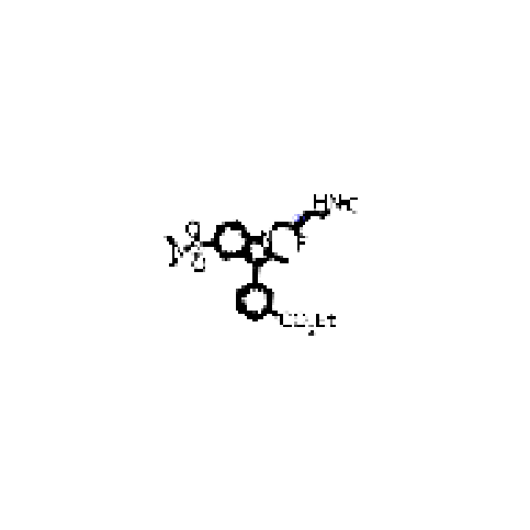 CCOC(=O)c1cccc(-c2c(C)n(C/C(F)=C/CNCl)c3ccc(S(=O)(=O)N(C)C)cc23)c1